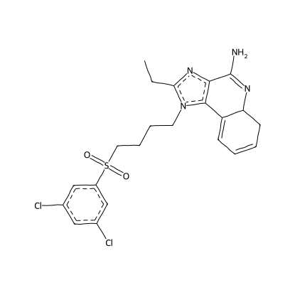 CCc1nc2c(n1CCCCS(=O)(=O)c1cc(Cl)cc(Cl)c1)C1=CC=CCC1N=C2N